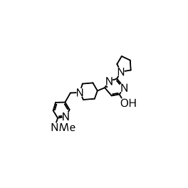 CNc1ccc(CN2CCC(c3cc(O)nc(N4CCCC4)n3)CC2)cn1